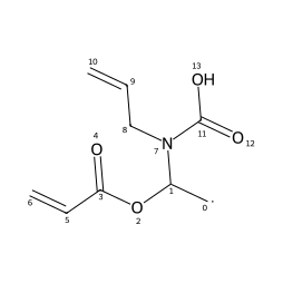 [CH2]C(OC(=O)C=C)N(CC=C)C(=O)O